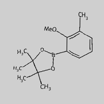 COc1c(C)cccc1B1OC(C)(C)C(C)(C)O1